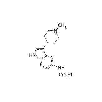 CCOC(=O)Nc1ccc2[nH]cc(C3CCN(C)CC3)c2n1